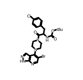 CC(C)(C)OC(=O)NC(Cc1ccc(Cl)cc1)C(=O)N1CCN(c2c(Br)cnc3[nH]ncc23)CC1